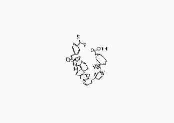 Cc1ccc2c(NS(=O)(=O)Cc3ccc(C(F)F)cc3)c(F)ccc2c1Oc1ncccc1-c1ccnc(NC2CCCN(C(=O)O)C2)n1